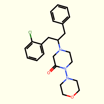 O=C1CN(C(Cc2ccccc2)Cc2ccccc2Cl)CCN1N1CCOCC1